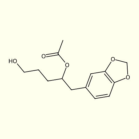 CC(=O)OC(CCCO)Cc1ccc2c(c1)OCO2